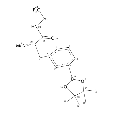 CN[C@@H](Cc1cccc(B2OC(C)(C)C(C)(C)O2)c1)C(=O)NCC(F)(F)F